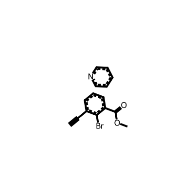 C#Cc1cccc(C(=O)OC)c1Br.c1ccncc1